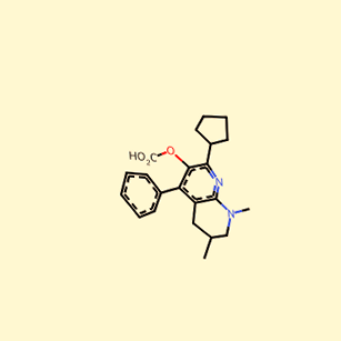 CC1Cc2c(nc(C3CCCC3)c(OC(=O)O)c2-c2ccccc2)N(C)C1